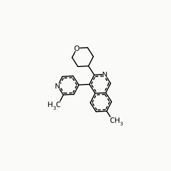 Cc1ccc2c(-c3ccnc(C)c3)c(C3CCOCC3)ncc2c1